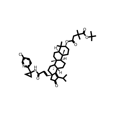 CC(C)C1=C2[C@H]3CC[C@@H]4[C@@]5(C)CC[C@H](OC(=O)CC(C)(C)C(=O)OC(C)(C)C)C(C)(C)[C@@H]5CC[C@@]4(C)[C@]3(C)CC[C@@]2(C=CC(=O)NC2(c3ccc(Cl)cn3)CC2)CC1=O